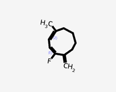 C=C1CCCC/C(C)=C\C=C/1F